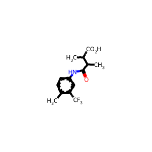 Cc1ccc(NC(=O)C(C)C(C)C(=O)O)cc1C(F)(F)F